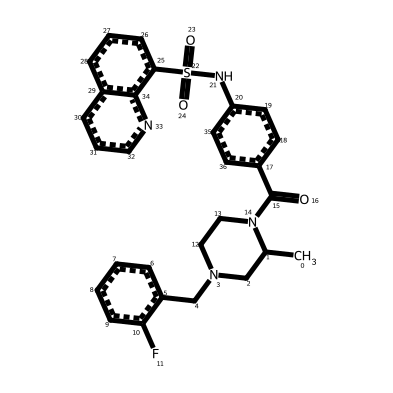 CC1CN(Cc2ccccc2F)CCN1C(=O)c1ccc(NS(=O)(=O)c2cccc3cccnc23)cc1